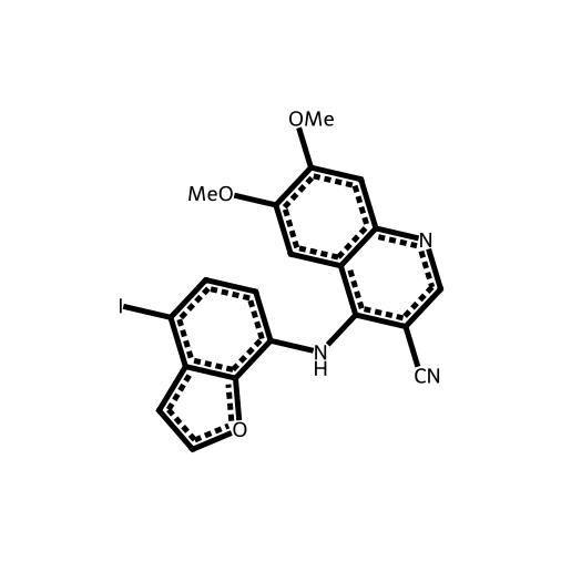 COc1cc2ncc(C#N)c(Nc3ccc(I)c4ccoc34)c2cc1OC